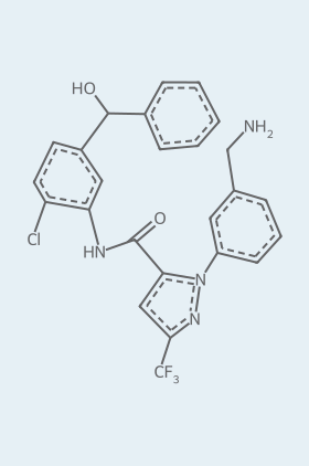 NCc1cccc(-n2nc(C(F)(F)F)cc2C(=O)Nc2cc(C(O)c3ccccc3)ccc2Cl)c1